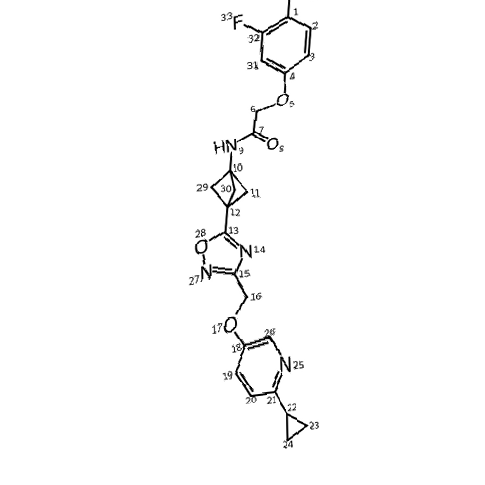 Cc1ccc(OCC(=O)NC23CC(c4nc(COc5ccc(C6CC6)nc5)no4)(C2)C3)cc1F